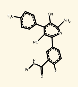 CC(C)NC(=O)c1cc(-c2nc(N)c(C#N)c(-c3ccc(C(F)(F)F)cc3)c2C#N)ccc1F